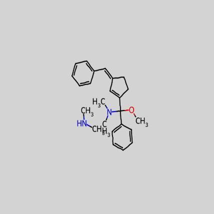 CNC.COC(C1=CC(=Cc2ccccc2)CC1)(c1ccccc1)N(C)C